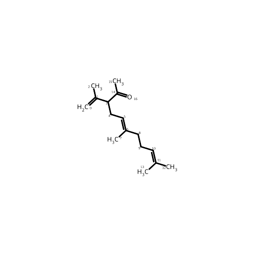 C=C(C)C(C/C=C(\C)CCC=C(C)C)C(C)=O